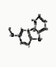 COc1[c]c2c(cc1)oc1ccccc12